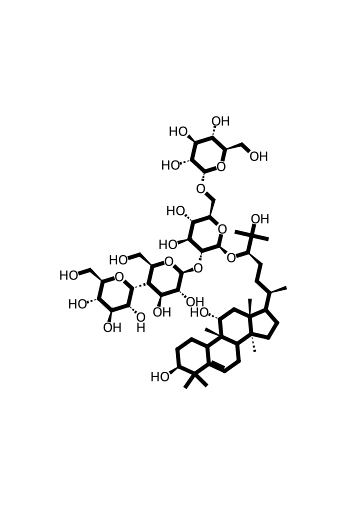 C[C@H](CC[C@@H](O[C@@H]1O[C@H](CO[C@H]2O[C@H](CO)[C@@H](O)[C@H](O)[C@H]2O)[C@@H](O)[C@H](O)[C@H]1O[C@@H]1O[C@H](CO)C([C@H]2O[C@H](CO)[C@@H](O)[C@H](O)[C@H]2O)[C@H](O)[C@H]1O)C(C)(C)O)C1CC[C@@]2(C)C3CC=C4C(CC[C@H](O)C4(C)C)[C@]3(C)[C@H](O)C[C@]12C